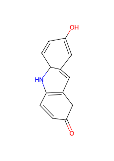 O=C1C=CC2=C(C=C3C=C(O)C=CC3N2)C1